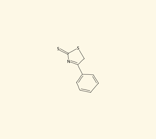 S=C1N=C(c2ccccc2)CS1